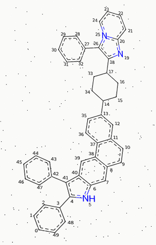 c1ccc(-c2[nH]c3cc4ccc5cc(C6CCC(c7nc8ccccn8c7-c7ccccc7)CC6)ccc5c4cc3c2-c2ccccc2)cc1